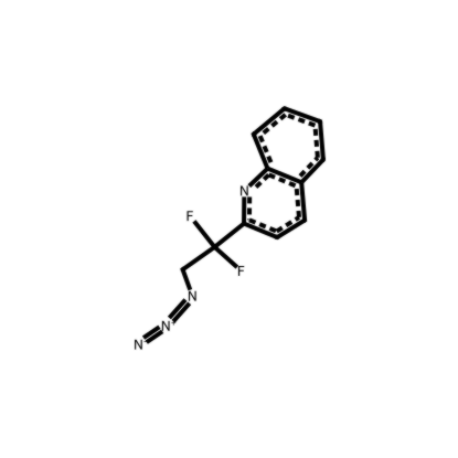 [N-]=[N+]=NCC(F)(F)c1ccc2ccccc2n1